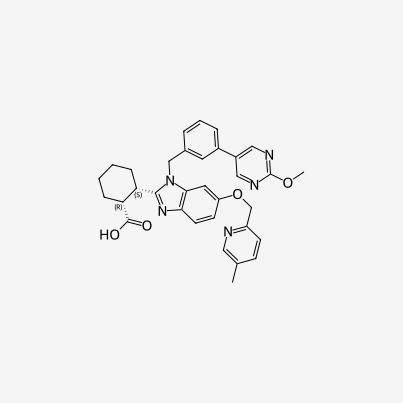 COc1ncc(-c2cccc(Cn3c([C@H]4CCCC[C@H]4C(=O)O)nc4ccc(OCc5ccc(C)cn5)cc43)c2)cn1